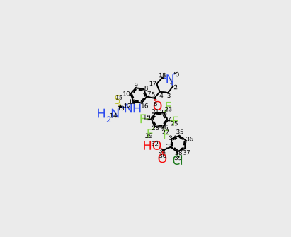 CN1CCC(C(=O)c2cccc(NC(N)=S)c2)CC1.Fc1cc(F)c(F)c(F)c1F.O=C(O)c1ccccc1Cl